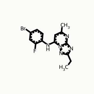 CCc1nc2nc(C)cc(Nc3ccc(Br)cc3F)n2n1